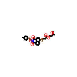 COC(C)CCOC(=O)CCSc1ccc2c3c(cccc13)C(=O)N(OSc1ccc(C)cc1)C2=O